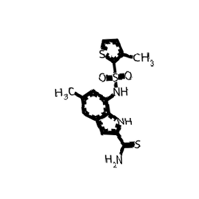 Cc1cc(NS(=O)(=O)c2sccc2C)c2[nH]c(C(N)=S)cc2c1